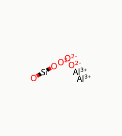 O=[Si]=O.[Al+3].[Al+3].[O-2].[O-2].[O-2]